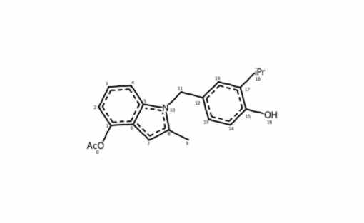 CC(=O)Oc1cccc2c1cc(C)n2Cc1ccc(O)c(C(C)C)c1